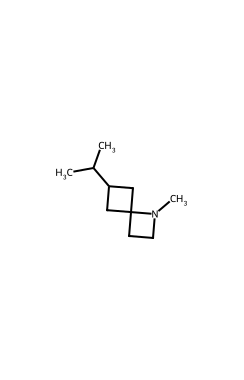 CC(C)C1CC2(CCN2C)C1